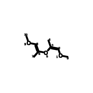 COC=C(C)OC(C)=COC